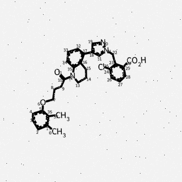 Cc1cccc(OCCCC(=O)N2CCCc3c(-c4cnn(Cc5c(Cl)cccc5C(=O)O)c4)cccc32)c1C